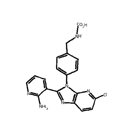 Nc1ncccc1-c1nc2ccc(Cl)nc2n1-c1ccc(CNC(=O)O)cc1